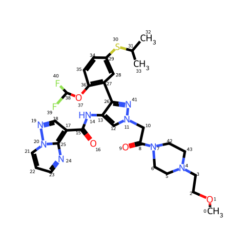 COCCN1CCN(C(=O)Cn2cc(NC(=O)c3cnn4cccnc34)c(-c3cc(SC(C)C)ccc3OC(F)F)n2)CC1